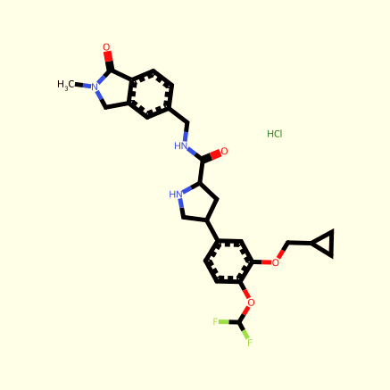 CN1Cc2cc(CNC(=O)C3CC(c4ccc(OC(F)F)c(OCC5CC5)c4)CN3)ccc2C1=O.Cl